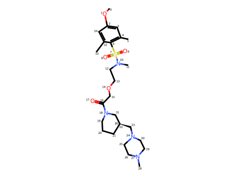 COc1cc(C)c(S(=O)(=O)N(C)CCOCC(=O)N2CCC[C@H](CN3CCN(C)CC3)C2)c(C)c1